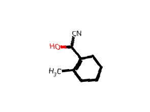 CC1=C(C(O)C#N)CCCC1